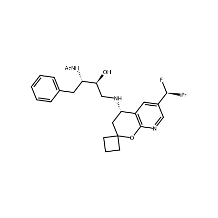 CC(=O)N[C@@H](Cc1ccccc1)[C@@H](O)CN[C@H]1CC2(CCC2)Oc2ncc([C@@H](F)C(C)C)cc21